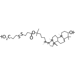 C[C@H](CCCC(C)(C)OC(=O)CCSSCCC(=O)O)[C@H]1CC[C@@]2(C)C3CC=C4C(C)(C)C(O)CC[C@]4(C)C3CC[C@]12C